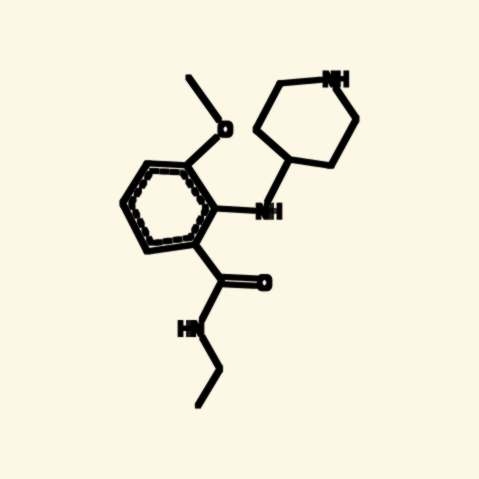 CCNC(=O)c1cccc(OC)c1NC1CCNCC1